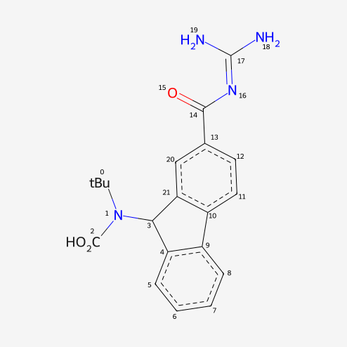 CC(C)(C)N(C(=O)O)C1c2ccccc2-c2ccc(C(=O)N=C(N)N)cc21